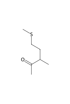 CSCCC(C)C(C)=O